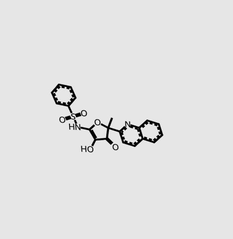 CC1(c2ccc3ccccc3n2)OC(NS(=O)(=O)c2ccccc2)=C(O)C1=O